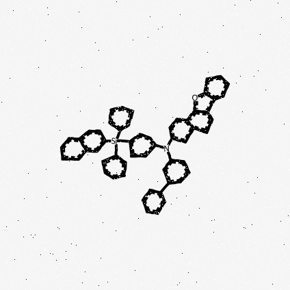 c1ccc(-c2cccc(N(c3ccc([Si](c4ccccc4)(c4ccccc4)c4ccc5ccccc5c4)cc3)c3ccc4c(ccc5c6ccccc6oc45)c3)c2)cc1